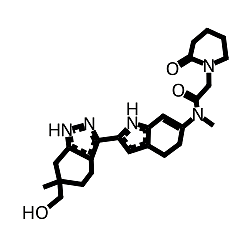 CN(C(=O)CN1CCCCC1=O)C1=Cc2[nH]c(-c3n[nH]c4c3CCC(C)(CO)C4)cc2CC1